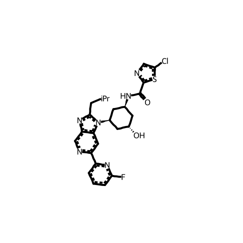 CC(C)Cc1nc2cnc(-c3cccc(F)n3)cc2n1[C@@H]1C[C@@H](O)C[C@H](NC(=O)c2ncc(Cl)s2)C1